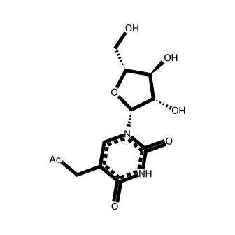 CC(=O)Cc1cn([C@@H]2O[C@H](CO)[C@@H](O)[C@@H]2O)c(=O)[nH]c1=O